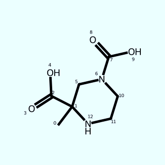 CC1(C(=O)O)CN(C(=O)O)CCN1